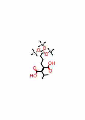 CC(C)/C(C(=O)O)=C(/CCC[Si](O[Si](C)(C)C)(O[Si](C)(C)C)O[Si](C)(C)C)C(=O)O